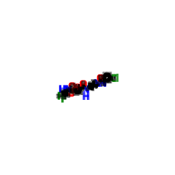 O=C(NC1CC2(C1)CN(c1nc3cc(Cl)ccc3o1)C2)c1ccc(S(=O)(=O)NC2CC(F)(F)C2)o1